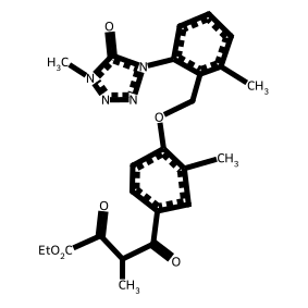 CCOC(=O)C(=O)C(C)C(=O)c1ccc(OCc2c(C)cccc2-n2nnn(C)c2=O)c(C)c1